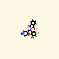 Cl.O=C1c2ccccc2C(=O)N1C1CC2(CCNCC2)Oc2c(Cl)cccc21